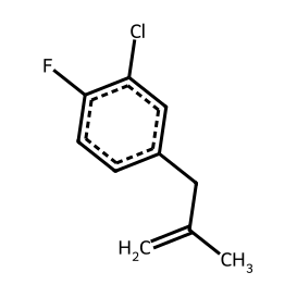 C=C(C)Cc1ccc(F)c(Cl)c1